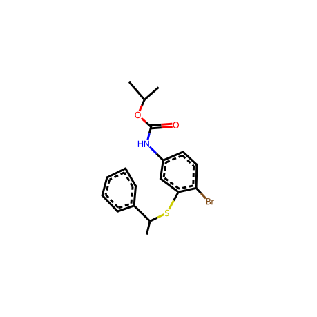 CC(C)OC(=O)Nc1ccc(Br)c(SC(C)c2ccccc2)c1